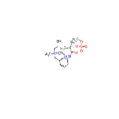 C=C(C)C(N)=O.CCC[N+](C)(C)Cc1ccccc1.COS(=O)(=O)[O-]